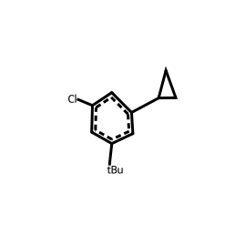 CC(C)(C)c1cc(Cl)cc(C2CC2)c1